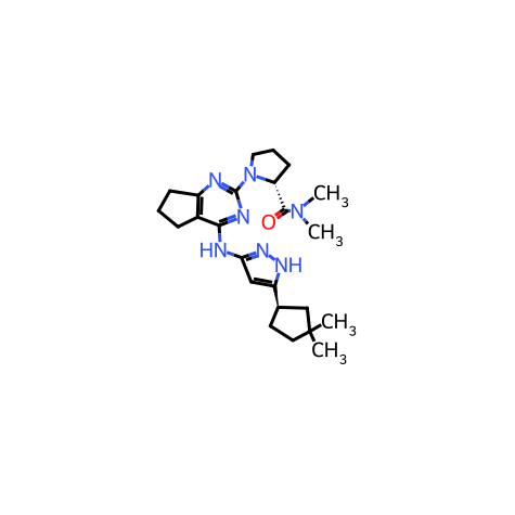 CN(C)C(=O)[C@H]1CCCN1c1nc2c(c(Nc3cc([C@@H]4CCC(C)(C)C4)[nH]n3)n1)CCC2